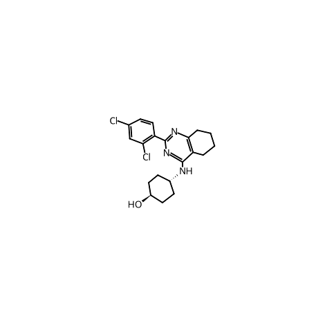 O[C@H]1CC[C@H](Nc2nc(-c3ccc(Cl)cc3Cl)nc3c2CCCC3)CC1